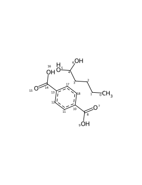 CCCCC(O)O.O=C(O)c1ccc(C(=O)O)cc1